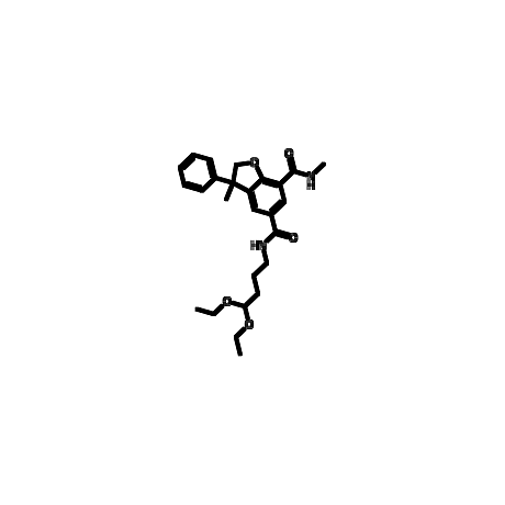 CCOC(CCCNC(=O)c1cc(C(=O)NC)c2c(c1)C(C)(c1ccccc1)CO2)OCC